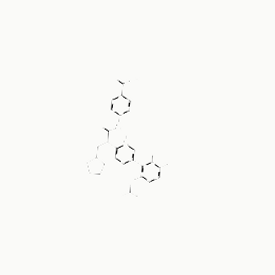 O=C(O)c1ccc(NC(=O)C(CC2CCCC2)c2ccc(-c3c(OC(F)F)ccc(Cl)c3F)c[n+]2[O-])cc1